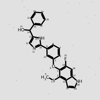 CSc1c(Oc2cccc(-c3ncc(C(O)c4ccccc4)[nH]3)c2)c(F)cc2[nH]ccc12